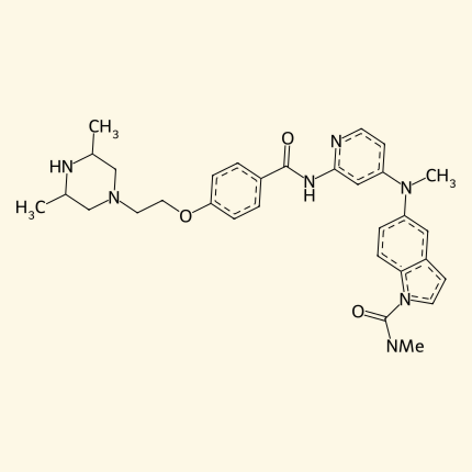 CNC(=O)n1ccc2cc(N(C)c3ccnc(NC(=O)c4ccc(OCCN5CC(C)NC(C)C5)cc4)c3)ccc21